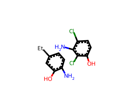 CCc1ccc(N)c(O)c1.Nc1c(Cl)ccc(O)c1Cl